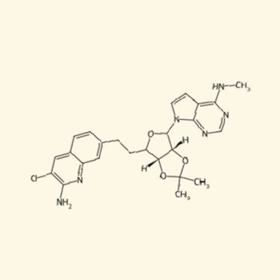 CNc1ncnc2c1ccn2C1OC(CCc2ccc3cc(Cl)c(N)nc3c2)[C@H]2OC(C)(C)O[C@@H]12